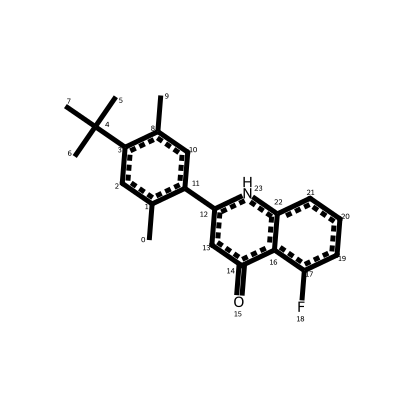 Cc1cc(C(C)(C)C)c(C)cc1-c1cc(=O)c2c(F)cccc2[nH]1